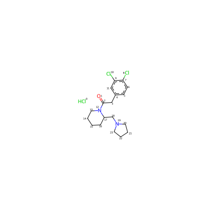 Cl.O=C(Cc1ccc(Cl)c(Cl)c1)N1CCCCC1CN1CCCC1